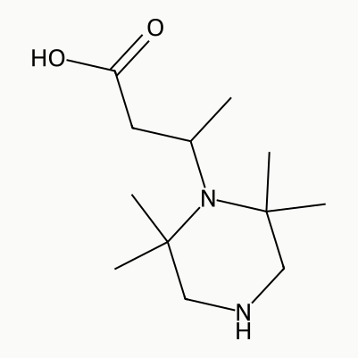 CC(CC(=O)O)N1C(C)(C)CNCC1(C)C